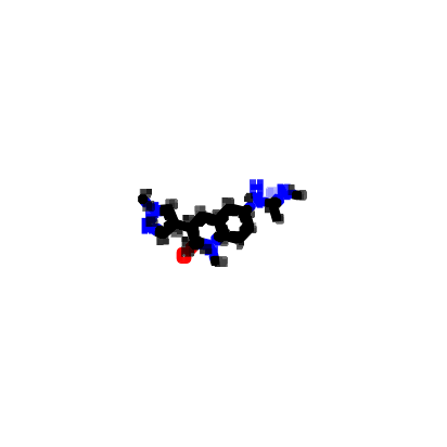 C/N=C(\C)Nc1ccc2c(c1)cc(-c1cnn(C)c1)c(=O)n2C